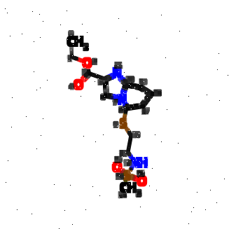 CCOC(=O)c1cn2c(SCCNS(C)(=O)=O)cccc2n1